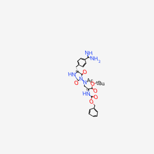 CC(=O)N(C[C@H](NC(=O)OCc1ccccc1)C(=O)OC(C)(C)C)N1C(=O)N[C@H](Cc2ccc(C(=N)N)cc2)C1=O